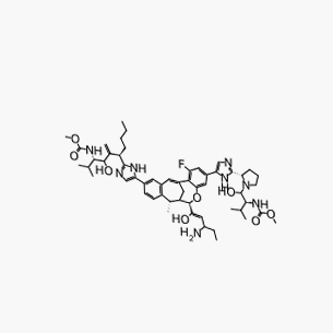 C=C(C(O)[C@@H](NC(=O)OC)C(C)C)[C@@H](CCCC)c1ncc(-c2ccc3c(c2)C=C2CC([C@@H]3C)[C@H](/C(O)=C/C(N)CC)Oc3cc(-c4cnc([C@@H]5CCCN5C(O)[C@@H](NC(=O)OC)C(C)C)[nH]4)cc(F)c32)[nH]1